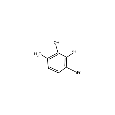 [2H]c1c(C(C)C)ccc(C)c1O